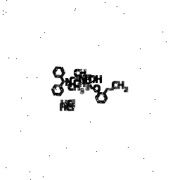 C=CCc1ccccc1OCC(O)CNC(C)(C)CN(C)C(c1ccccc1)c1ccccc1.Cl.Cl